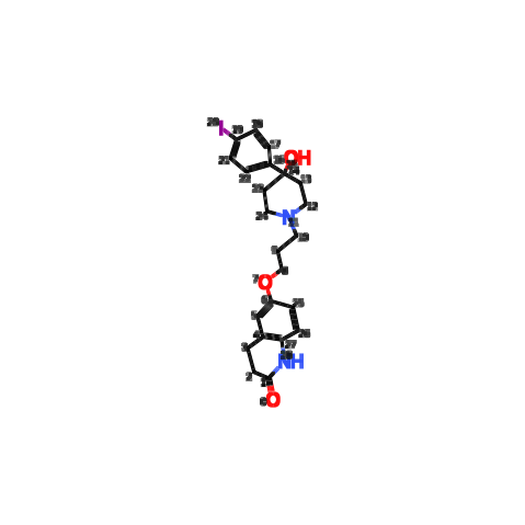 O=C1CCc2cc(OCCCN3CCC(O)(c4ccc(I)cc4)CC3)ccc2N1